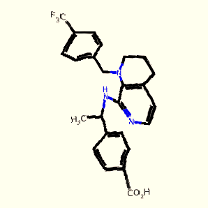 CC(Nc1nccc2c1N(Cc1ccc(C(F)(F)F)cc1)CCC2)c1ccc(C(=O)O)cc1